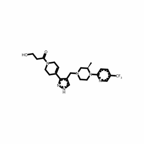 C[C@@H]1CN(Cc2c[nH]nc2C2=CCN(C(=O)CCO)CC2)CCN1c1ccc(C(F)(F)F)cn1